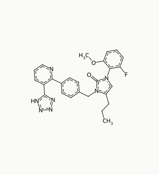 CCCc1cn(-c2c(F)cccc2OC)c(=O)n1Cc1ccc(-c2ncccc2-c2nnn[nH]2)cc1